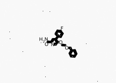 NC(=O)c1cc(-c2ccc(F)cc2)c(OCCOCc2ccccc2)cn1